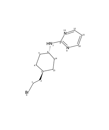 BrCC[C@H]1CC[C@H](Nc2ncccn2)CC1